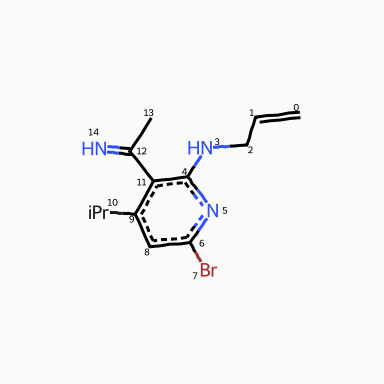 C=CCNc1nc(Br)cc(C(C)C)c1C(C)=N